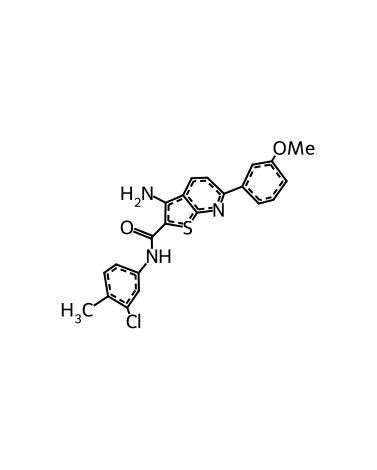 COc1cccc(-c2ccc3c(N)c(C(=O)Nc4ccc(C)c(Cl)c4)sc3n2)c1